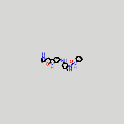 Cc1ccc(Nc2ccc3c(c2)NC(=O)C3=Cc2ccc[nH]2)cc1NC(=O)Nc1ccccc1